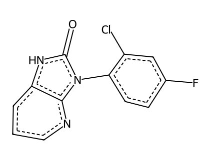 O=c1[nH]c2cccnc2n1-c1ccc(F)cc1Cl